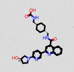 O=C(O)NC[C@H]1CC[C@H](CNC(=O)c2cc(-c3ccc(N4CC[C@@H](O)C4)nc3)nc3ccccc23)CC1